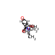 C=CCN1C(=O)C2C(C1=O)C1C3OC3C2C1[Si](CC)(CC)CC